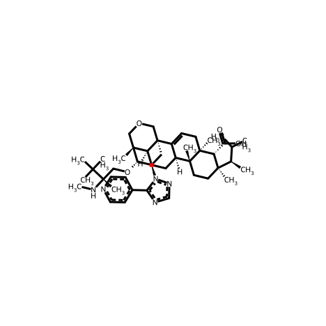 CN[C@@](C)(CO[C@H]1[C@H](n2ncnc2-c2ccncc2)C[C@@]23COC[C@]1(C)[C@@H]2CC[C@H]1C3=CC[C@@]2(C)[C@H](C(=O)O)[C@@](C)([C@H](C)C(C)C)CC[C@]12C)C(C)(C)C